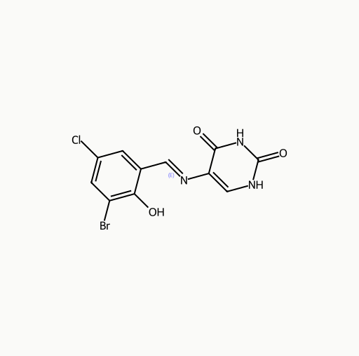 O=c1[nH]cc(/N=C/c2cc(Cl)cc(Br)c2O)c(=O)[nH]1